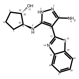 Nc1n[nH]c(N[C@H]2CCC[C@@H]2O)c1-c1nc2ccccc2s1